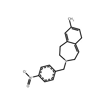 CC1=CCC2=CCN(Cc3ccc([N+](=O)[O-])cc3)CCC2=C1